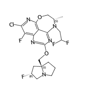 C[C@H]1COc2nc(Cl)c(F)c3nc(OC[C@@]45CCCN4C[C@H](F)C5)nc(c23)N1CC(F)F